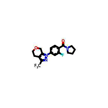 O=C(c1ccc(-n2nc(C(F)(F)F)c3c2COCC3)cc1F)N1CCCC1